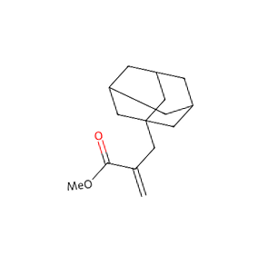 C=C(CC12CC3CC(CC(C3)C1)C2)C(=O)OC